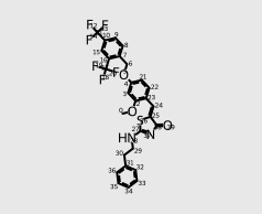 COc1cc(OCc2ccc(C(F)(F)F)cc2C(F)(F)F)ccc1C=C1SC(NCCc2ccccc2)=NC1=O